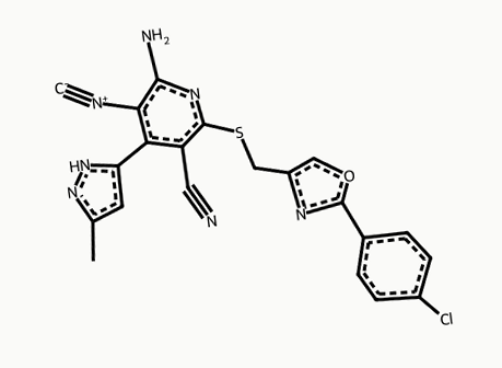 [C-]#[N+]c1c(N)nc(SCc2coc(-c3ccc(Cl)cc3)n2)c(C#N)c1-c1cc(C)n[nH]1